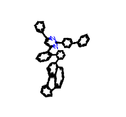 c1ccc(-c2ccc(-c3nc(-c4ccccc4)cc(-c4ccccc4-c4ccccc4-c4ccc5c6c(cccc46)-c4ccccc4-5)n3)cc2)cc1